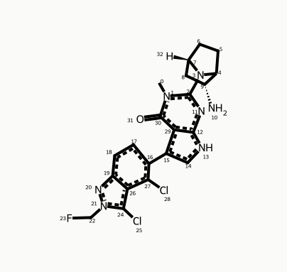 Cn1c(N2C3CC[C@H]2C[C@H]3N)nc2[nH]cc(-c3ccc4nn(CF)c(Cl)c4c3Cl)c2c1=O